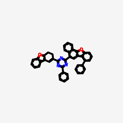 C1=C(c2nc(-c3ccccc3)nc(-c3cc4c(oc5cccc(-c6ccccc6)c54)c4ccccc34)n2)CCc2oc3ccccc3c21